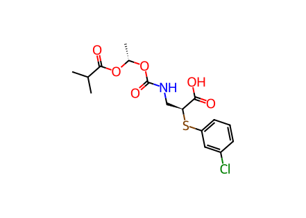 CC(C)C(=O)O[C@H](C)OC(=O)NC[C@H](Sc1cccc(Cl)c1)C(=O)O